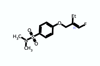 CC/C(=C\F)COc1ccc(S(=O)(=O)N(C)C)cc1